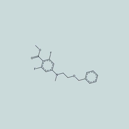 COC(=O)c1c(F)cc(N(C)CCOCc2ccccc2)cc1F